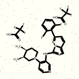 C[C@H]1CCN(c2ccncc2Nc2ncc3ccc(-c4c(F)cccc4F)nn23)C[C@H]1N.O=C(O)C(F)(F)F.O=C(O)C(F)(F)F